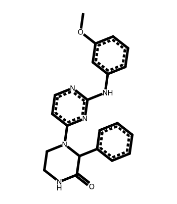 COc1cccc(Nc2nccc(N3CCNC(=O)C3c3ccccc3)n2)c1